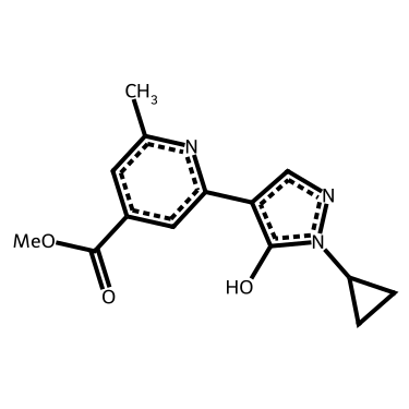 COC(=O)c1cc(C)nc(-c2cnn(C3CC3)c2O)c1